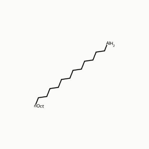 CCCCCCCCCCCCCCCCCCC[CH2][AlH2]